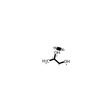 CC(O)CO.N#N